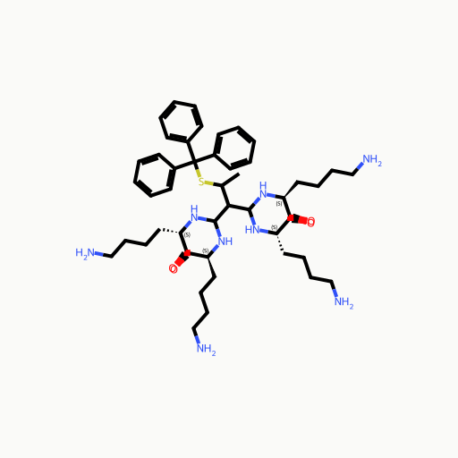 CC(SC(c1ccccc1)(c1ccccc1)c1ccccc1)C(C(N[C@H](C=O)CCCCN)N[C@H](C=O)CCCCN)C(N[C@H](C=O)CCCCN)N[C@H](C=O)CCCCN